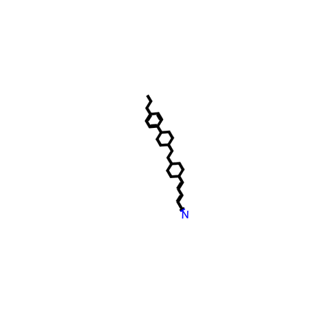 CCCc1ccc(C2CCC(CCC3CCC(C=CC=CC#N)CC3)CC2)cc1